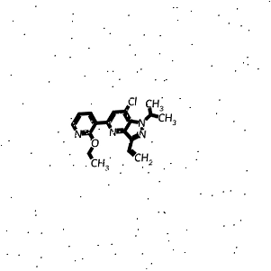 C=Cc1nn(C(C)C)c2c(Cl)cc(-c3cccnc3OCC)nc12